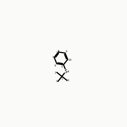 CC(C)(C)Sc1cc[c]cc1